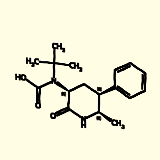 C[C@H]1NC(=O)[C@@H](N(C(=O)O)C(C)(C)C)C[C@H]1c1ccccc1